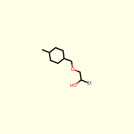 CCC(O)COCC1CCC(C)CC1